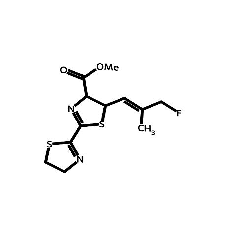 COC(=O)C1N=C(C2=NCCS2)SC1/C=C(\C)CF